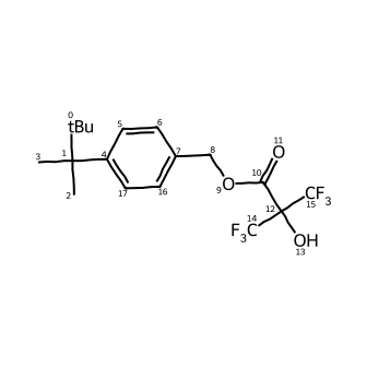 CC(C)(C)C(C)(C)c1ccc(COC(=O)C(O)(C(F)(F)F)C(F)(F)F)cc1